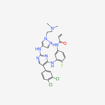 C=CC(=O)Nc1ccc(F)c(Nc2nc(Nc3cnn(CCN(C)C)c3)ncc2-c2ccc(Cl)c(Cl)c2)c1